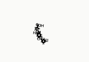 O=C(O)c1cnn(-c2nc3cc(SCc4cccc(Cl)c4)c(Cl)cc3[nH]2)c1